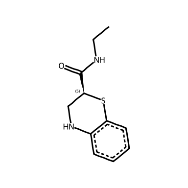 CCNC(=O)[C@@H]1CNc2ccccc2S1